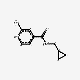 Nc1cc(C(=O)NCC2CC2)ccn1